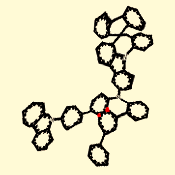 c1ccc(-c2cccc(-c3ccccc3N(c3ccc(-c4ccc(-n5c6ccccc6c6ccccc65)cc4)cc3)c3ccc4c(c3)c3cccc5c3n4-c3ccccc3C53c4ccccc4-c4ccccc43)c2)cc1